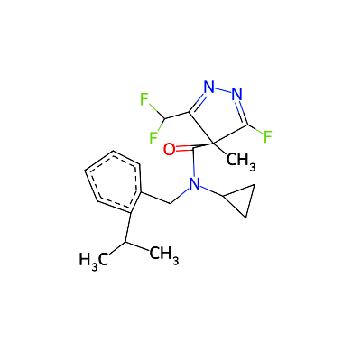 CC(C)c1ccccc1CN(C(=O)C1(C)C(F)=NN=C1C(F)F)C1CC1